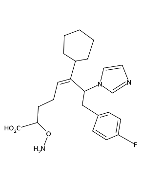 NOC(CCC=C(C1CCCCC1)C(Cc1ccc(F)cc1)n1ccnc1)C(=O)O